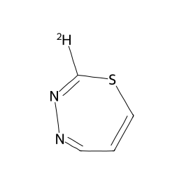 [2H]C1=NN=CC=CS1